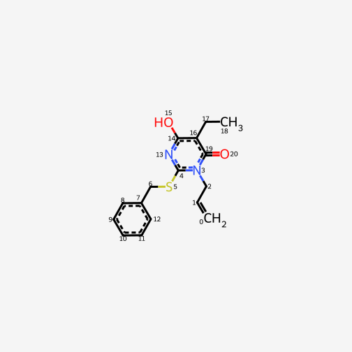 C=CCn1c(SCc2ccccc2)nc(O)c(CC)c1=O